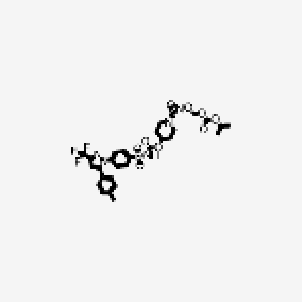 Cc1ccc(-c2cc(C(F)(F)F)nn2-c2ccc(S(=O)(=O)NC(=O)OC3CCN(n4on4OCOC(=O)OC(C)C)CC3)cc2)cc1